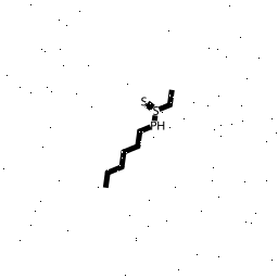 CCCCCCPS(=S)CC